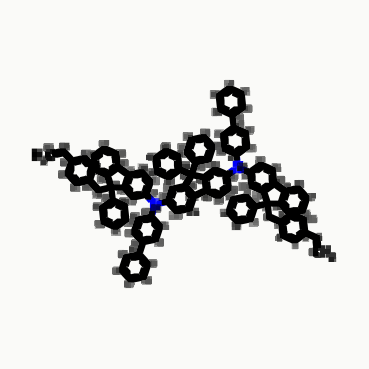 C=Cc1ccc(CC2(c3ccccc3)c3ccccc3-c3ccc(N(c4ccc(-c5ccccc5)cc4)c4ccc5c(c4)C(c4ccccc4)(c4ccccc4)c4cc(N(c6ccc(-c7ccccc7)cc6)c6ccc7c(c6)C(Cc6ccc(C=C)cc6)(c6ccccc6)c6ccccc6-7)ccc4-5)cc32)cc1